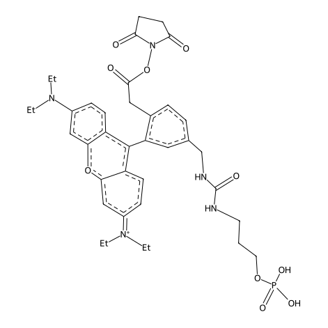 CCN(CC)c1ccc2c(-c3cc(CNC(=O)NCCCOP(=O)(O)O)ccc3CC(=O)ON3C(=O)CCC3=O)c3ccc(=[N+](CC)CC)cc-3oc2c1